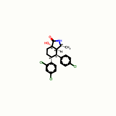 C[C@H]1NC(=O)[C@]2(O)CC[C@@H](c3ccc(Cl)cc3Cl)[C@H](c3ccc(Cl)cc3)[C@H]12